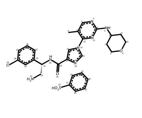 Cc1cnc(NC2CCOCC2)nc1-n1cnc(C(=O)N[C@H](CN)c2cccc(Cl)c2)c1.O=S(=O)(O)c1ccccc1